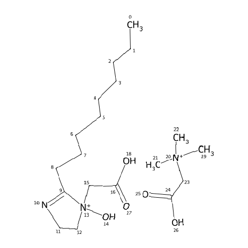 CCCCCCCCCC1=NCC[N+]1(O)CC(=O)O.C[N+](C)(C)CC(=O)O